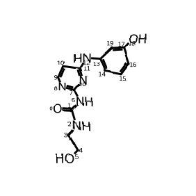 O=C(NCCO)Nc1nccc(Nc2cccc(O)c2)n1